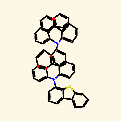 c1ccc(-c2ccccc2N(c2cccc(-c3ccccc3N(c3ccccc3-c3ccccc3)c3cccc4c3sc3ccccc34)c2)c2ccccc2-c2ccccc2)cc1